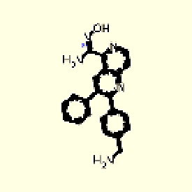 NCc1ccc(-c2nc3ccnc(/C(N)=N\O)c3cc2-c2ccccc2)cc1